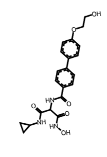 O=C(NC(C(=O)NO)C(=O)NC1CC1)c1ccc(-c2ccc(OCCO)cc2)cc1